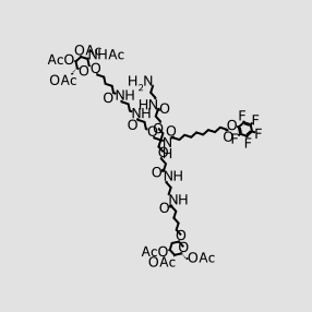 CC(=O)NC1[C@H](OCCCCC(=O)NCCCNC(=O)CCOCC(COCCC(=O)NCCCN)(COCCC(=O)NCCCNC(=O)CCCCO[C@H]2C[C@@H](OC(C)=O)[C@@H](OC(C)=O)[C@@H](COC(C)=O)O2)NC(=O)CCCCCCCCC(=O)Oc2c(F)c(F)c(F)c(F)c2F)O[C@H](COC(C)=O)[C@H](OC(C)=O)[C@@H]1OC(C)=O